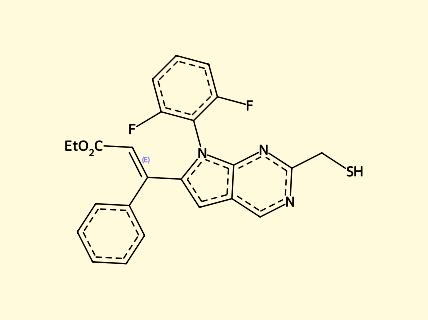 CCOC(=O)/C=C(\c1ccccc1)c1cc2cnc(CS)nc2n1-c1c(F)cccc1F